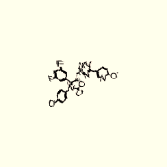 COc1ccc(-c2nnn(C[C@@H]3OC(=O)N(c4ccc(Cl)cc4)[C@H]3c3cc(F)cc(F)c3)n2)cn1